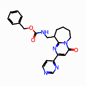 O=C(NCC1CCCCn2c1nc(-c1ccncn1)cc2=O)OCc1ccccc1